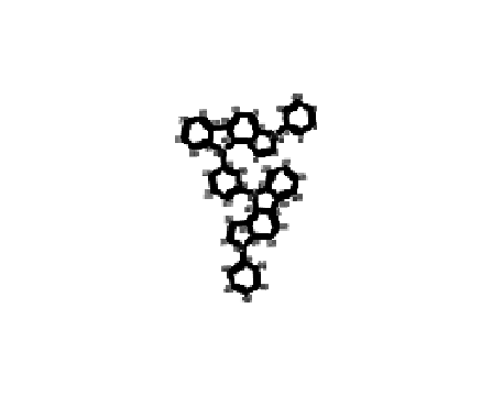 c1ccc(-n2ccc3c2ccc2c4ccccc4n(-c4cccc(-n5c6ccccc6c6ccc7c(ccn7-c7ccccc7)c65)c4)c23)cc1